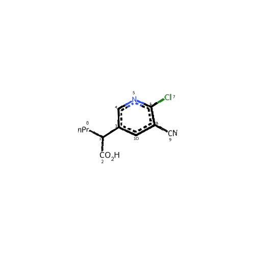 CCCC(C(=O)O)c1cnc(Cl)c(C#N)c1